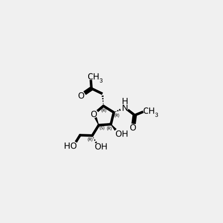 CC(=O)C[C@H]1O[C@H]([C@H](O)CO)[C@H](O)[C@H]1NC(C)=O